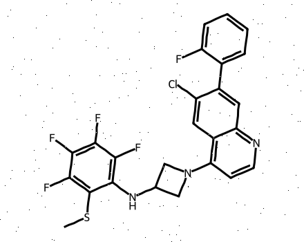 CSc1c(F)c(F)c(F)c(F)c1NC1CN(c2ccnc3cc(-c4ccccc4F)c(Cl)cc23)C1